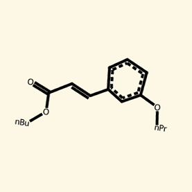 CCCCOC(=O)C=Cc1cccc(OCCC)c1